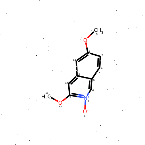 COc1ccc2c[n+]([O-])c(OC)cc2c1